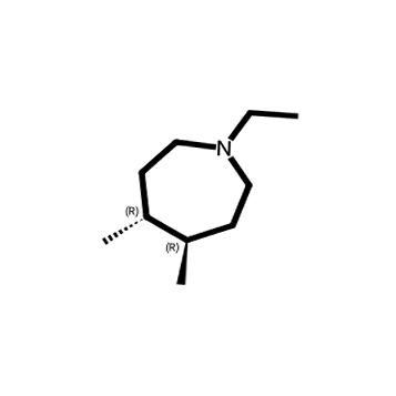 CCN1CC[C@@H](C)[C@H](C)CC1